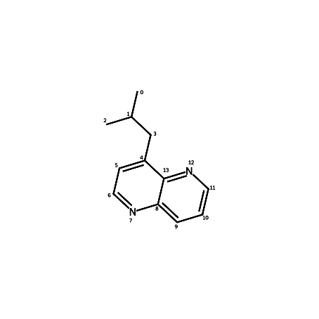 CC(C)Cc1ccnc2cccnc12